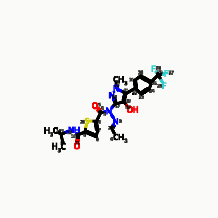 CC=NN(C(=O)c1ccc(C(=O)NC(C)C)s1)c1nn(C)c(-c2ccc(C(F)(F)F)cc2)c1O